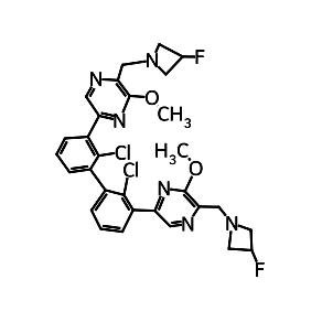 COc1nc(-c2cccc(-c3cccc(-c4cnc(CN5CC(F)C5)c(OC)n4)c3Cl)c2Cl)cnc1CN1CC(F)C1